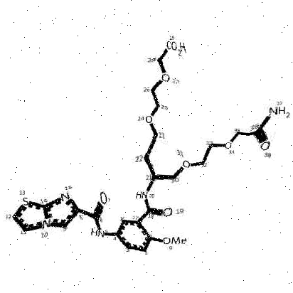 COc1ccc(NC(=O)c2cn3ccsc3n2)cc1C(=O)NC(CCOCCOCC(=O)O)COCCOCC(N)=O